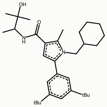 Cc1c(C(=O)NC(C)C(C)(C)O)cc(-c2cc(C(C)(C)C)cc(C(C)(C)C)c2)n1CC1CCCCC1